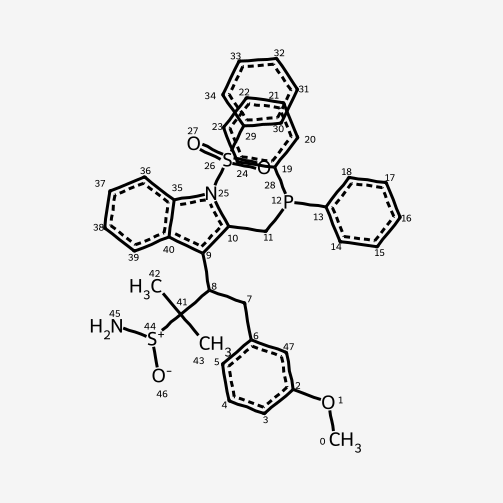 COc1cccc(CC(c2c(CP(c3ccccc3)c3ccccc3)n(S(=O)(=O)c3ccccc3)c3ccccc23)C(C)(C)[S+](N)[O-])c1